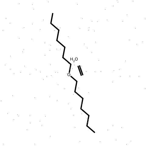 C=C.CCCCCCCOCCCCCCC.O